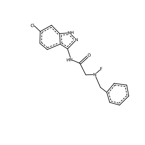 O=C(CN(F)Cc1ccccc1)Nc1n[nH]c2cc(Cl)ccc12